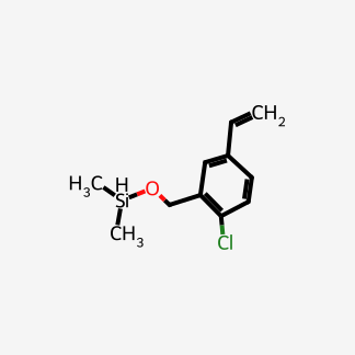 C=Cc1ccc(Cl)c(CO[SiH](C)C)c1